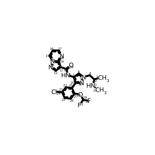 CNC(C)Cn1cc(NC(=O)c2cnn3cccnc23)c(-c2cc(Cl)ccc2OC(F)F)n1